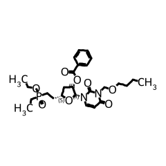 CCCCOCn1c(=O)ccn([C@@H]2O[C@H](CCP(=O)(CC)OCC)C[C@@H]2OC(=O)c2ccccc2)c1=O